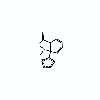 CN(C)C1(c2cccs2)C=CC=CC1C(=O)Cl